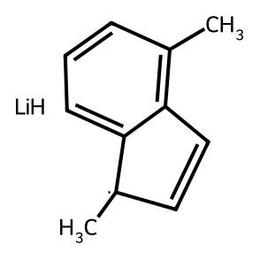 C[C]1C=Cc2c(C)cccc21.[LiH]